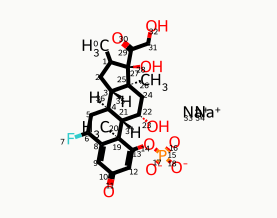 CC1C[C@H]2[C@@H]3CC(F)C4=CC(=O)C=C(OP(=O)([O-])[O-])[C@]4(C)[C@H]3[C@@H](O)C[C@]2(C)[C@@]1(O)C(=O)CO.[Na+].[Na+]